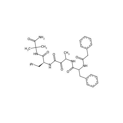 CC(C)C[C@H](NC(=O)C(=O)C(C)NC(=O)C(Cc1ccccc1)NC(=O)Cc1ccccc1)C(=O)NC(C)(C)C(N)=O